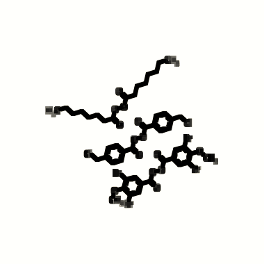 CCCCCCCC(=O)OOC(=O)CCCCCCC.COc1c(Br)cc(C(=O)OOC(=O)c2cc(Br)c(OC)c(Br)c2)cc1Br.O=C(OOC(=O)c1ccc(CCl)cc1)c1ccc(CCl)cc1